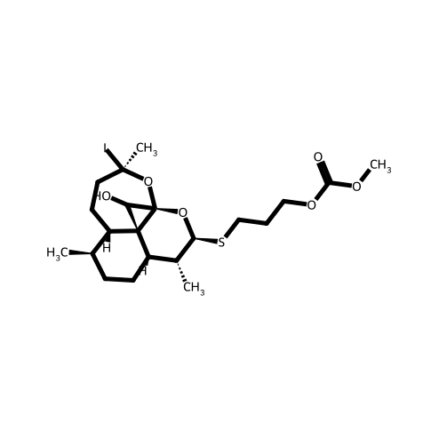 COC(=O)OCCCS[C@@H]1O[C@@]23O[C@](C)(I)CC[C@H]4[C@H](C)CC[C@@H]([C@H]1C)[C@]42C3O